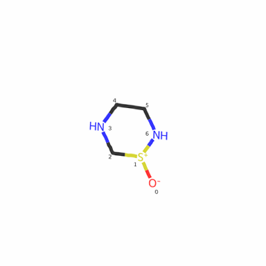 [O-][S+]1CNCCN1